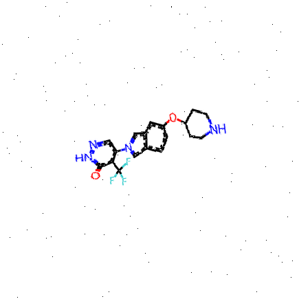 O=c1[nH]ncc(-n2cc3ccc(OC4CCNCC4)cc3c2)c1C(F)(F)F